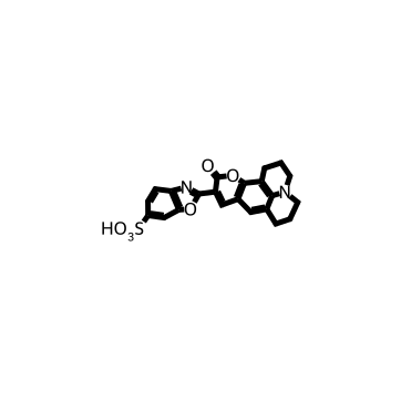 O=c1oc2c3c4c(cc2cc1-c1nc2ccc(S(=O)(=O)O)cc2o1)CCCN4CCC3